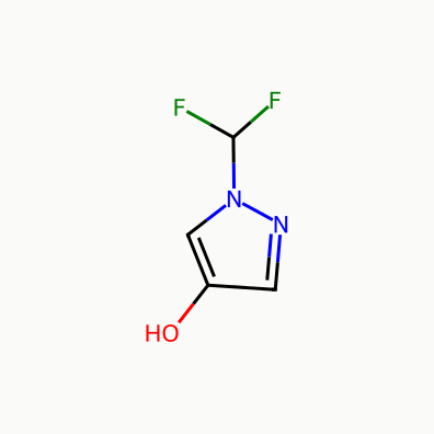 Oc1cnn(C(F)F)c1